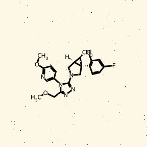 COCc1nnc(N2C[C@H]3[C@@H](C)[C@@]3(c3ccc(F)cc3Cl)C2)n1-c1ccc(OC)nc1